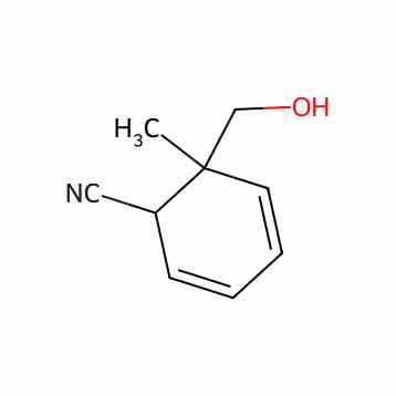 CC1(CO)C=CC=CC1C#N